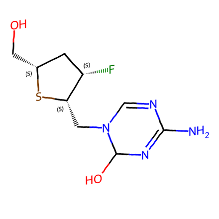 NC1=NC(O)N(C[C@@H]2S[C@H](CO)C[C@@H]2F)C=N1